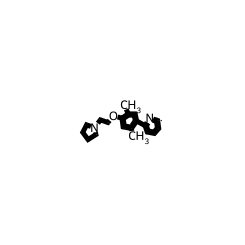 Cc1cc(-c2ccc[c]n2)c(C)cc1OCCN1CCCC1